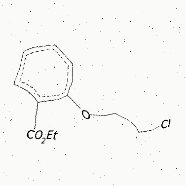 CCOC(=O)c1ccccc1OCCCl